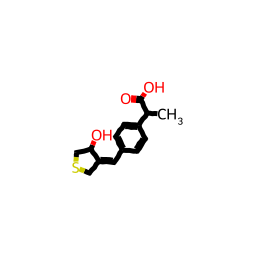 CC(C(=O)O)c1ccc(C=C2CSCC2O)cc1